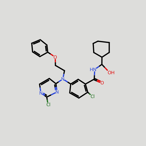 O=C(NC(O)C1CCCCC1)c1cc(N(CCOc2ccccc2)c2ccnc(Cl)n2)ccc1Cl